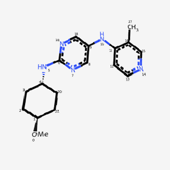 CO[C@H]1CC[C@H](Nc2ncc(Nc3ccncc3C)cn2)CC1